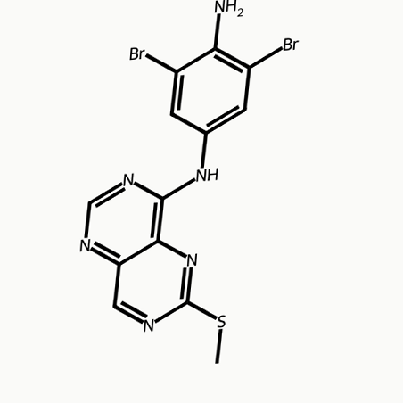 CSc1ncc2ncnc(Nc3cc(Br)c(N)c(Br)c3)c2n1